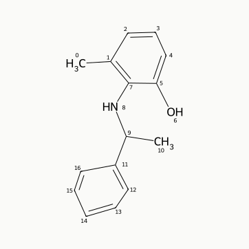 Cc1cccc(O)c1NC(C)c1ccccc1